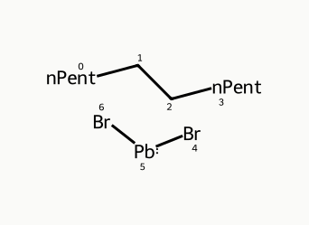 CCCCCCCCCCCC.[Br][Pb][Br]